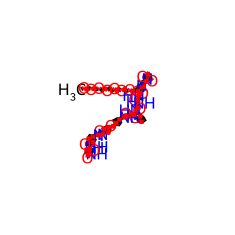 COCCOCCOCCOCCOCCOCCOCCOC1(C(=O)NCC(=O)NCC(=O)N[C@@H](Cc2ccccc2)C(=O)NCC(=O)NCc2ccc(COc3ccc(NC(=O)NCc4ccc5c(c4)CN(C4CCC(=O)NC4=O)C5=O)cc3)cc2)CCN(CCN2C(=O)C=CC2=O)CC1